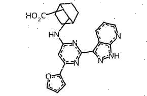 O=C(O)C1C2CCC(CC2)C1Nc1cc(-c2ccco2)nc(-c2n[nH]c3ncccc23)n1